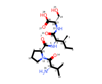 CC[C@H](C)[C@H](NC(=O)[C@@H]1CCCN1C(=O)[C@@H](N)C(C)C)C(=O)N[C@@H](CO)C(=O)O